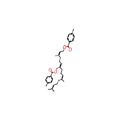 CC(C)=CCCC(C)=CCCC(=CCCC(C)=CCOC(=O)c1ccc(C)cc1)COC(=O)c1ccc(C)cc1